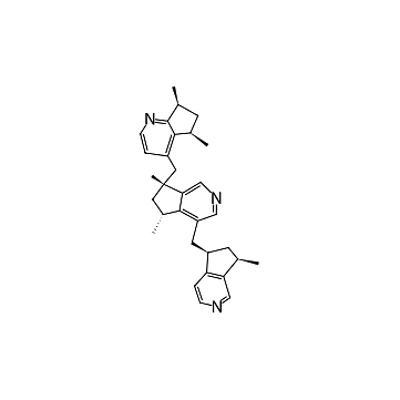 C[C@@H]1C[C@H](Cc2cncc3c2[C@H](C)C[C@]3(C)Cc2ccnc3c2[C@H](C)C[C@@H]3C)c2ccncc21